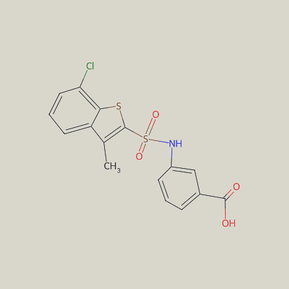 Cc1c(S(=O)(=O)Nc2cccc(C(=O)O)c2)sc2c(Cl)cccc12